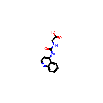 O=C(O)CNC(=O)Nc1ccnc2ccccc12